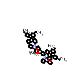 C=Cc1ccc(C2(c3ccc(C=C)cc3)c3ccccc3-c3c(N(c4ccc5c(c4)C(CCCCCCCC)(CCCCCCCC)c4cc(N(c6ccccc6-c6ccccc6)c6cccc7c6-c6ccccc6C7(c6ccc(C=C)cc6)c6ccc(C=C)cc6)ccc4-5)c4ccccc4-c4ccccc4)cccc32)cc1